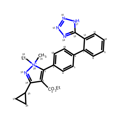 CCOC(=O)C1=C(c2ccc(-c3ccccc3-c3nnn[nH]3)cc2)[N+](C)(CC)N=C1C1CC1